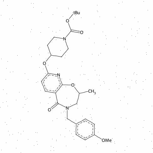 COc1ccc(CN2CC(C)Oc3nc(OC4CCN(C(=O)OC(C)(C)C)CC4)ccc3C2=O)cc1